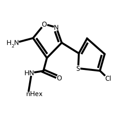 CCCCCCNC(=O)c1c(-c2ccc(Cl)s2)noc1N